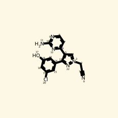 N#CCn1cc(-c2ccnc(N)n2)c(-c2cc(O)cc(Cl)c2)n1